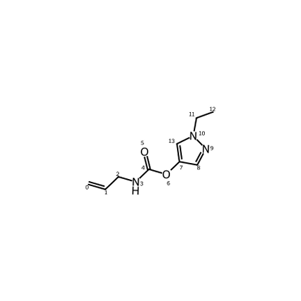 C=CCNC(=O)Oc1cnn(CC)c1